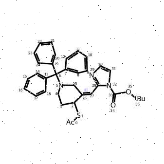 CC(=O)SC1CCN(C(c2ccccc2)(c2ccccc2)c2ccccc2)C/C1=C\c1nccn1C(=O)OC(C)(C)C